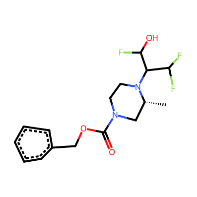 C[C@@H]1CN(C(=O)OCc2ccccc2)CCN1C(C(O)F)C(F)F